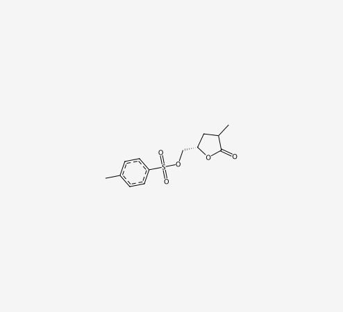 Cc1ccc(S(=O)(=O)OC[C@@H]2CC(C)C(=O)O2)cc1